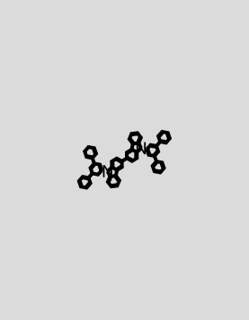 C1=CC(C2=CC(c3ccccc3)CC(n3c4ccccc4c4cc(-c5ccc6c(c5)c5ccccc5n6-c5cc(-c6ccccc6)cc(-c6ccccc6)c5)ccc43)=C2)=CCC1